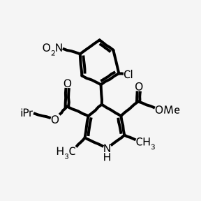 COC(=O)C1=C(C)NC(C)=C(C(=O)OC(C)C)C1c1cc([N+](=O)[O-])ccc1Cl